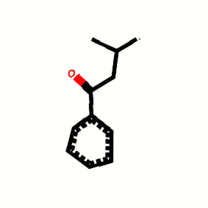 [CH2]C(C)CC(=O)c1ccccc1